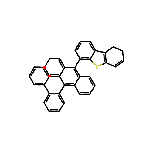 C1=Cc2sc3c(-c4c5c(c(-c6ccccc6-c6ccccc6)c6ccccc46)=CCCC=5)cccc3c2CC1